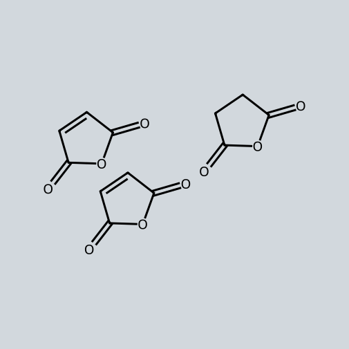 O=C1C=CC(=O)O1.O=C1C=CC(=O)O1.O=C1CCC(=O)O1